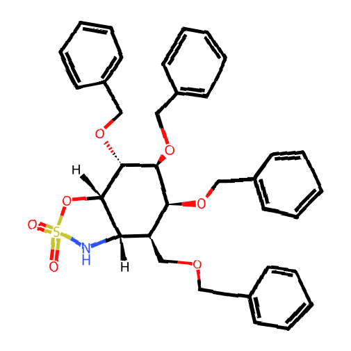 O=S1(=O)N[C@H]2[C@H](COCc3ccccc3)[C@H](OCc3ccccc3)[C@H](OCc3ccccc3)[C@@H](OCc3ccccc3)[C@H]2O1